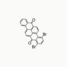 O=C1c2ccccc2-c2ccc3c4c(ccc1c24)-c1c(Br)ccc(Br)c1C3=O